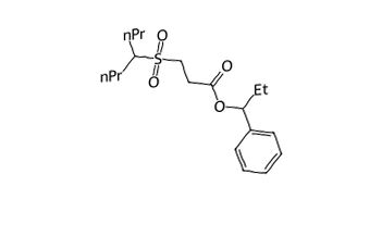 CCCC(CCC)S(=O)(=O)CCC(=O)OC(CC)c1ccccc1